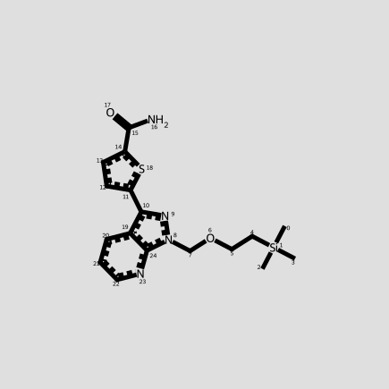 C[Si](C)(C)CCOCn1nc(-c2ccc(C(N)=O)s2)c2cccnc21